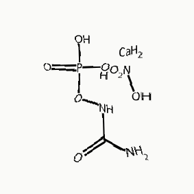 NC(=O)NOP(=O)(O)O.O=[N+]([O-])O.[CaH2]